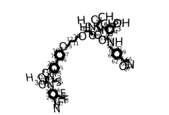 CC(C)(C)[C@H](NC(=O)COCCCCOc1ccc(-c2ccc(N3C(=S)N(c4ccc(C#N)c(C(F)(F)F)c4)C(=O)C3(C)C)cc2)cc1)C(=O)N1C[C@H](O)C[C@H]1C(=O)NCc1ccc(-c2cnco2)cc1